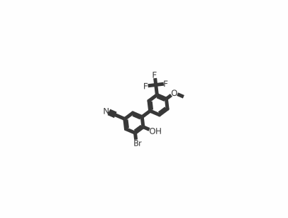 COc1ccc(-c2cc(C#N)cc(Br)c2O)cc1C(F)(F)F